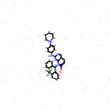 O=c1ccc2cnc(Nc3ccc(N4CCCCC4)cc3)nc2n1C(c1ccccc1)c1ccccc1C(F)(F)F